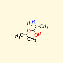 CC(C)OC(O)[C@@H](C)N